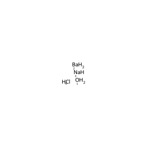 Cl.O.[BaH2].[NaH]